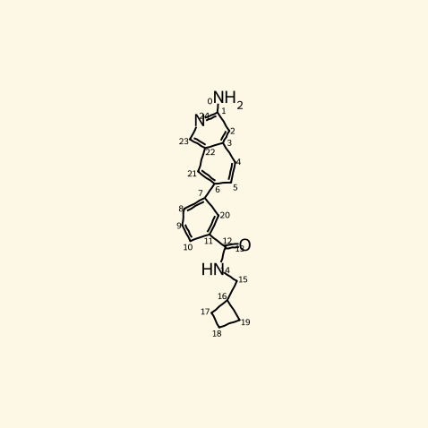 Nc1cc2ccc(-c3cccc(C(=O)NCC4CCC4)c3)cc2cn1